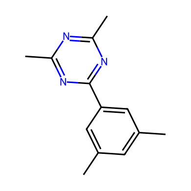 Cc1cc(C)cc(-c2nc(C)nc(C)n2)c1